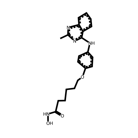 Cc1nc(Nc2ccc(OCCCCCC(=O)NO)cc2)c2ccccc2n1